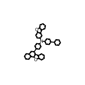 c1ccc(-c2ccc(N(c3ccc(-c4cc5ccccc5c5oc6ccccc6c45)cc3)c3ccc4oc5ccccc5c4c3)cc2)cc1